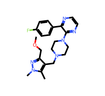 COCc1nn(C)c(C)c1CN1CCN(c2nccnc2-c2ccc(F)cc2)CC1